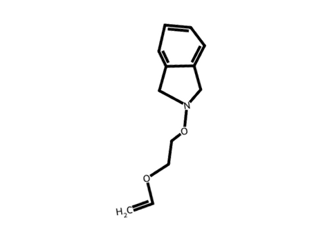 C=COCCON1Cc2ccccc2C1